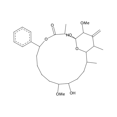 C=C1C(C)C2OC(O)(C(C)C(=O)OC(c3ccccc3)CCCCC(OC)C(O)CCC2C)C1OC